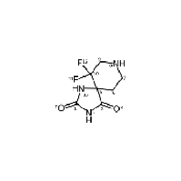 O=C1NC(=O)C2(CCNCC2(F)F)N1